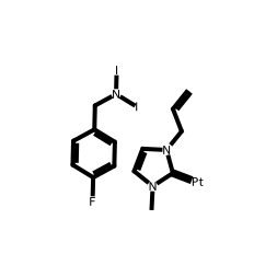 C=CCn1ccn(C)[c]1=[Pt].Fc1ccc(CN(I)I)cc1